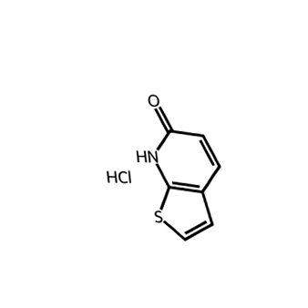 Cl.O=c1ccc2ccsc2[nH]1